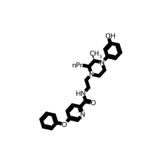 CCCC1[C@H](C)N(c2cccc(O)c2)CCN1CCNC(=O)c1ccc(Oc2ccccc2)cn1